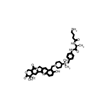 CC[C@@]1(O)C(=O)OCc2c1cc1n(c2=O)Cc2cc3c(CN4CCC([N+](C)(C)Cc5ccc(NC(=O)[C@H](C)NC(=O)CCCN)cc5)CC4)c(O)ccc3nc2-1